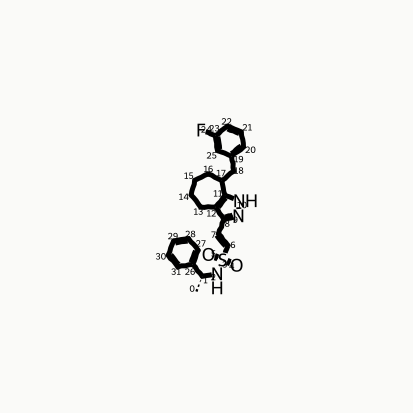 C[C@@H](NS(=O)(=O)/C=C/c1n[nH]c2c1CCCCC2Cc1cccc(F)c1)c1ccccc1